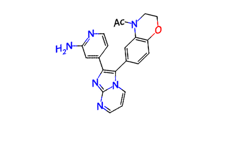 CC(=O)N1CCOc2ccc(-c3c(-c4ccnc(N)c4)nc4ncccn34)cc21